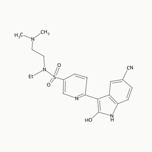 CCN(CCN(C)C)S(=O)(=O)c1ccc(-c2c(O)[nH]c3ccc(C#N)cc23)nc1